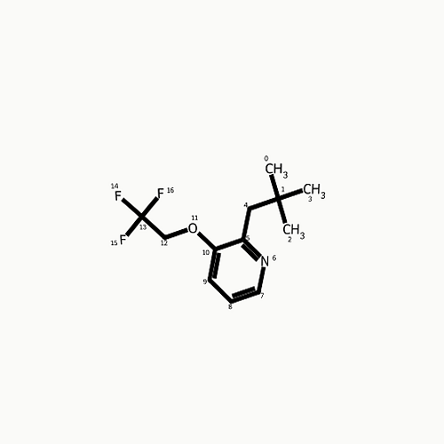 CC(C)(C)Cc1ncccc1OCC(F)(F)F